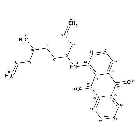 C=CCC(C)CCC(CC=C)Nc1cccc2c1C(=O)c1ccccc1C2=O